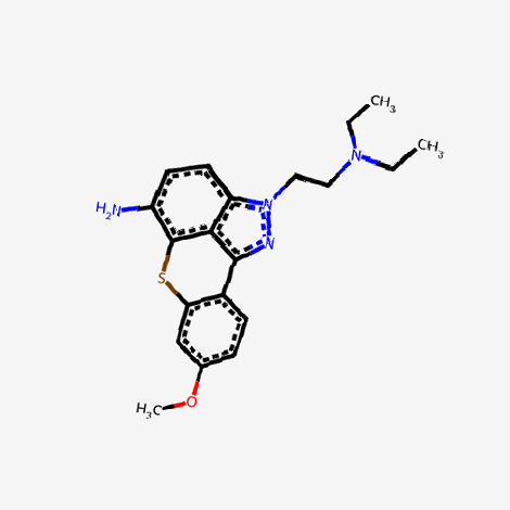 CCN(CC)CCn1nc2c3c(c(N)ccc31)Sc1cc(OC)ccc1-2